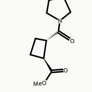 COC(=O)[C@H]1CC[C@@H]1C(=O)N1CCCC1